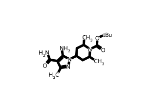 Cc1nn(C2CC(C)N(C(=O)OC(C)(C)C)C(C)C2)c(N)c1C(N)=O